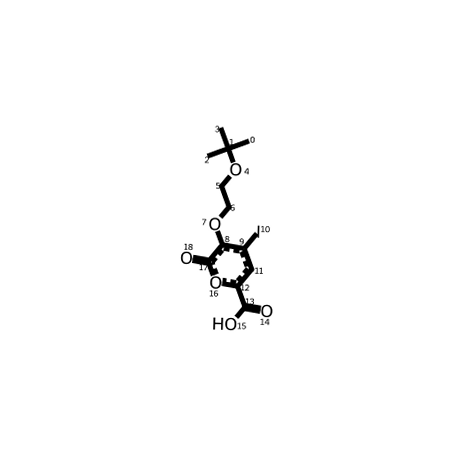 CC(C)(C)OCCOc1c(I)cc(C(=O)O)oc1=O